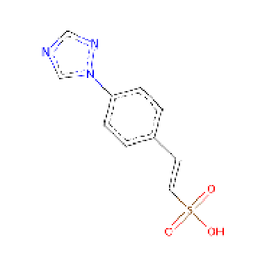 O=S(=O)(O)C=Cc1ccc(-n2cncn2)cc1